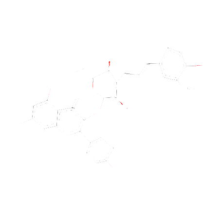 COc1cc(C=CC[C@]2(O)[C@H](O)[C@@H](CO)OC(Oc3c(-c4ccc(O)cc4)oc4cc(O)cc(O)c4c3=O)[C@@H]2O)ccc1O